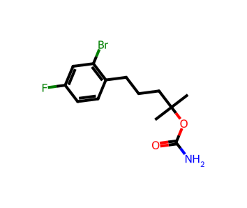 CC(C)(CCCc1ccc(F)cc1Br)OC(N)=O